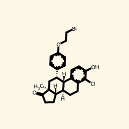 C[C@]12C[C@H](c3ccc(OCCBr)cc3)[C@@H]3c4ccc(O)c(Cl)c4CC[C@H]3[C@@H]1CCC2=O